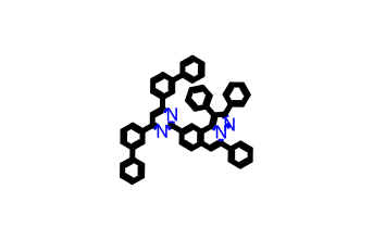 c1ccc(-c2cccc(-c3cc(-c4cccc(-c5ccccc5)c4)nc(-c4ccc5cc(-c6ccccc6)n6nc(-c7ccccc7)c(-c7ccccc7)c6c5c4)n3)c2)cc1